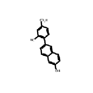 N#Cc1cc(C(=O)O)ccc1-c1ccc2cc(O)ccc2c1